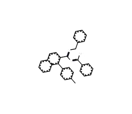 Cc1ccc(-c2c(C(/N=C(\N)c3ccccc3)=N/Cc3ccccc3)ccc3ccccc23)cc1